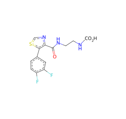 O=C(O)NCCNC(=O)c1ncsc1-c1ccc(F)c(F)c1